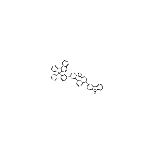 c1ccc2c(c1)-c1ccc(-c3ccc4c(c3)-c3cccc5c(-c6ccc7sc8ccccc8c7c6)ccc(c35)O4)cc1C21c2ccccc2-c2c1ccc1ccccc21